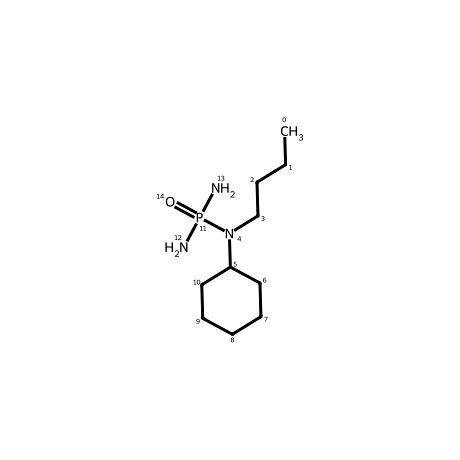 CCCCN(C1CCCCC1)P(N)(N)=O